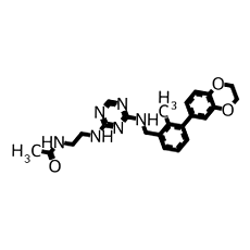 CC(=O)NCCNc1ncnc(NCc2cccc(-c3ccc4c(c3)OCCO4)c2C)n1